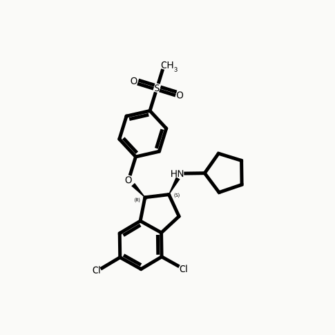 CS(=O)(=O)c1ccc(O[C@@H]2c3cc(Cl)cc(Cl)c3C[C@@H]2NC2CCCC2)cc1